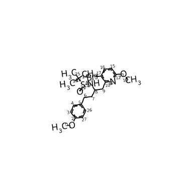 COc1ccc(CCC(Cc2nc(OC)ccc2Br)N[S+]([O-])C(C)(C)C)cc1